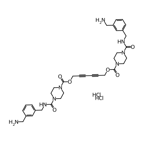 Cl.Cl.NCc1cccc(CNC(=O)N2CCN(C(=O)OCC#CC#CCOC(=O)N3CCN(C(=O)NCc4cccc(CN)c4)CC3)CC2)c1